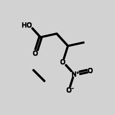 CC.CC(CC(=O)O)O[N+](=O)[O-]